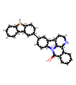 O=c1c2ccccc2c2nccc3c4cc(-c5ccc6sc7ccccc7c6c5)ccc4n1c32